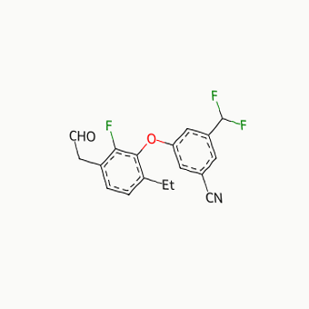 CCc1ccc(CC=O)c(F)c1Oc1cc(C#N)cc(C(F)F)c1